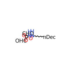 CCCCCCCCCCCCCCCCCCNC(=O)Nc1cc(OC=O)cc(OC=O)c1